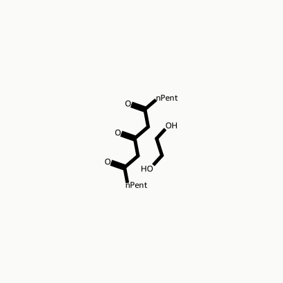 CCCCCC(=O)CC(=O)CC(=O)CCCCC.OCCO